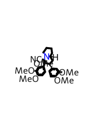 COc1ccc([C@@H]2C[C@H]3CCCCN3C(C#N)=C2c2ccc(OC)c(OC)c2OC)cc1OC